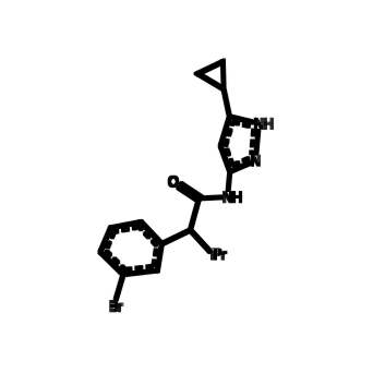 CC(C)C(C(=O)Nc1cc(C2CC2)[nH]n1)c1cccc(Br)c1